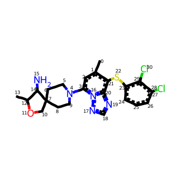 Cc1cc(N2CCC3(CC2)COC(C)C3N)n2ncnc2c1Sc1cccc(Cl)c1Cl